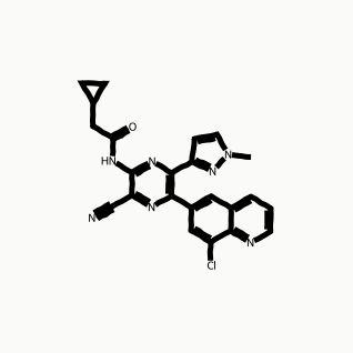 Cn1ccc(-c2nc(NC(=O)CC3CC3)c(C#N)nc2-c2cc(Cl)c3ncccc3c2)n1